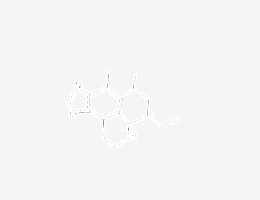 C=C[C@H]1CC(C)c2c3c(c4ocnc4c2C)CCC[C@@H]31